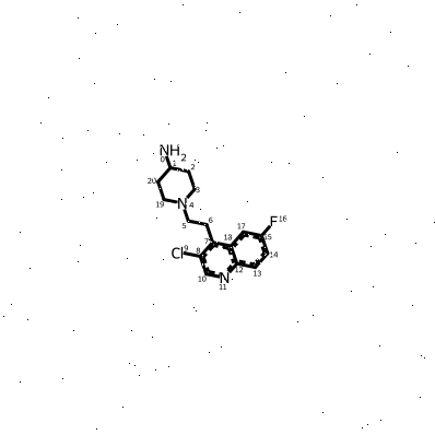 NC1CCN(CCc2c(Cl)cnc3ccc(F)cc23)CC1